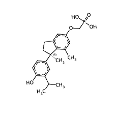 Cc1cc(OCP(=O)(O)O)cc2c1[C@@](C)(c1ccc(O)c(C(C)C)c1)CC2